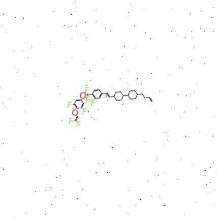 C=CCCC1CCC(C2CCC(/C=C/c3ccc(C(F)(F)Oc4cc(F)c(OC=C(F)F)c(F)c4)c(F)c3)CC2)CC1